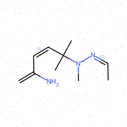 C=C(N)/C=C\C(C)(C)N(C)/N=C\C